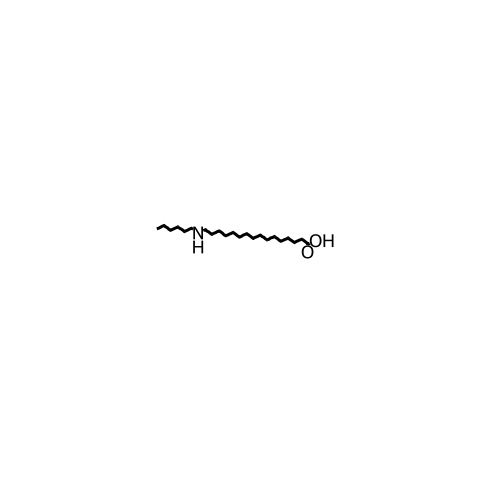 CCCCCCNCCCCCCCCCCCCCCCC(=O)O